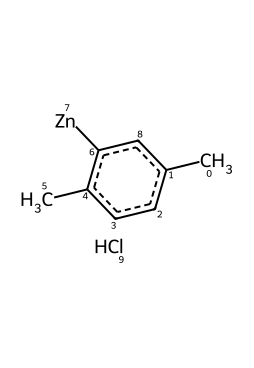 Cc1ccc(C)[c]([Zn])c1.Cl